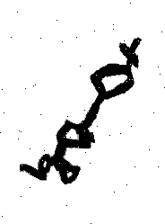 CCOC(=O)c1ccc(C#Cc2ccc(C(C)(C)C)cc2)nc1